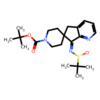 CC(C)(C)OC(=O)N1CCC2(CC1)Cc1cccnc1C2=N[S+]([O-])C(C)(C)C